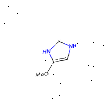 COC1=CN[C]N1